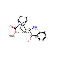 COCC1C2CCC1N(C(=O)OC(C)(C)C)C2CC(N)C(O)c1ccccc1